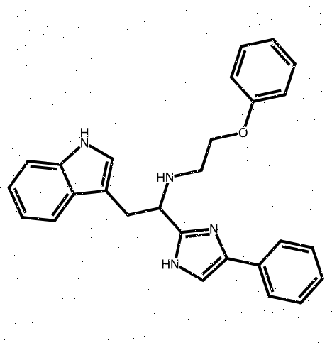 c1ccc(OCCNC(Cc2c[nH]c3ccccc23)c2nc(-c3ccccc3)c[nH]2)cc1